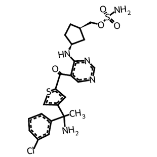 CC(N)(c1cccc(Cl)c1)c1csc(C(=O)c2cncnc2N[C@H]2CC[C@@H](COS(N)(=O)=O)C2)c1